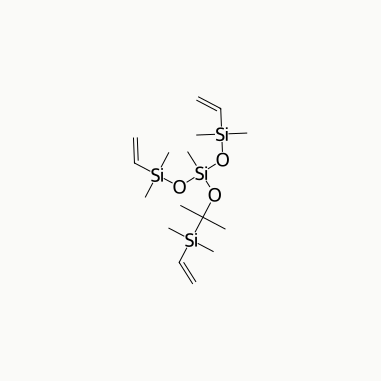 C=C[Si](C)(C)O[Si](C)(OC(C)(C)[Si](C)(C)C=C)O[Si](C)(C)C=C